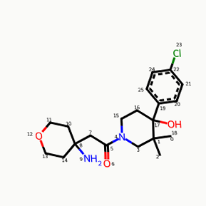 CC1(C)CN(C(=O)CC2(N)CCOCC2)CCC1(O)c1ccc(Cl)cc1